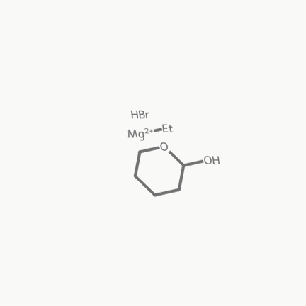 Br.C[CH2][Mg+2].OC1CCCCO1